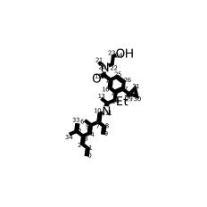 C=C\C=C(/C=C(C)/C(C=C)=C/N=C(\C)Cc1cc(C(=O)N(C)CCO)ccc1C1(CC)CC1)C(=C)C